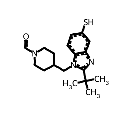 CC(C)(C)c1nc2cc(S)ccc2n1CC1CCN(C=O)CC1